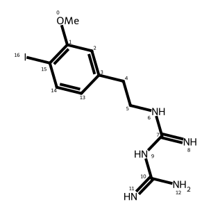 COc1cc(CCNC(=N)NC(=N)N)ccc1I